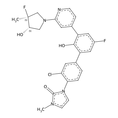 Cn1ccn(-c2ccc(-c3cc(F)cc(-c4ccnc(N5C[C@H](O)[C@@](C)(F)C5)c4)c3O)cc2Cl)c1=O